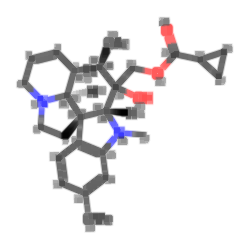 CC[C@]12C=CCN3CC[C@@]4(c5ccc(OC)cc5N(C)[C@H]4C(O)(COC(=O)C4CC4)[C@@H]1OC(C)=O)[C@@H]32